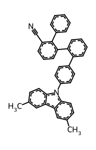 Cc1ccc2c(c1)c1cc(C)ccc1n2-c1ccc(-c2ccccc2-c2cccc(C#N)c2-c2ccccc2)cc1